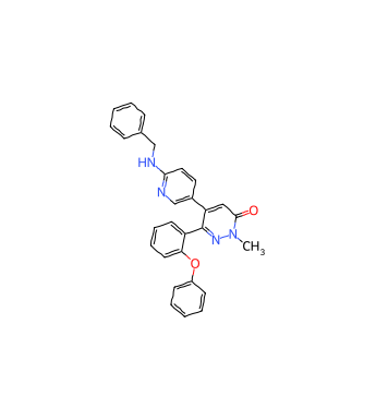 Cn1nc(-c2ccccc2Oc2ccccc2)c(-c2ccc(NCc3ccccc3)nc2)cc1=O